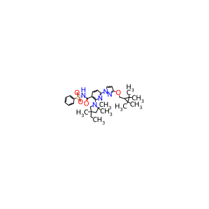 CC[C@]1(C)CN(c2nc(-n3ccc(OCC4C(C)(C)C4(C)C)n3)ccc2C(=O)NS(=O)(=O)c2ccccc2)C(C)(C)C1